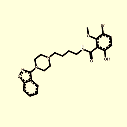 COc1c(Br)ccc(O)c1C(=O)NCCCCN1CCN(c2nsc3ccccc23)CC1